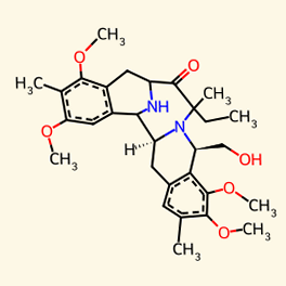 CCC1(C)C(=O)C2Cc3c(cc(OC)c(C)c3OC)C(N2)[C@@H]2Cc3cc(C)c(OC)c(OC)c3[C@H](CO)N21